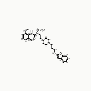 CCCCCCCN(CCN1CCN(CCCSc2nc3ncccc3o2)CC1)C(=O)Nc1c(C(C)C)cccc1C(C)C